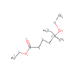 CCOC(=O)CCC[Si](C)(C)OCC